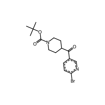 CC(C)(C)OC(=O)N1CCC(C(=O)c2ccc(Br)nc2)CC1